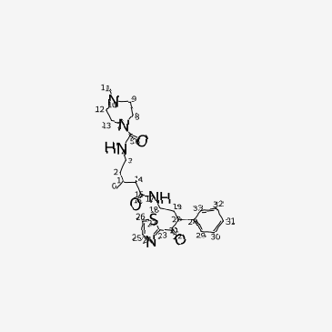 CC(CCNC(=O)N1CCN(C)CC1)CC(=O)NCCC(C(=O)c1nccs1)c1ccccc1